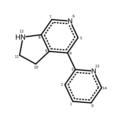 c1ccc(-c2cncc3c2CCN3)nc1